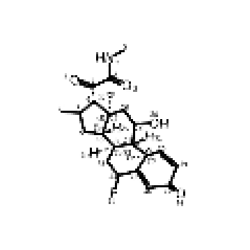 CNC(=O)C(=O)[C@H]1C(C)C[C@H]2[C@@H]3CC(F)C4=CC(=O)C=C[C@]4(C)[C@H]3C(O)C[C@]12C